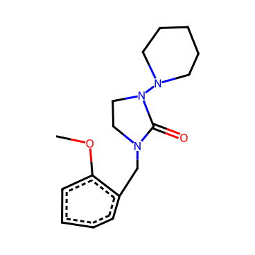 COc1ccccc1CN1CCN(N2CCCCC2)C1=O